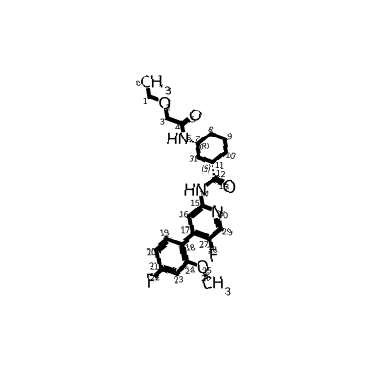 CCOCC(=O)N[C@@H]1CCC[C@H](C(=O)Nc2cc(-c3ccc(F)cc3OC)c(F)cn2)C1